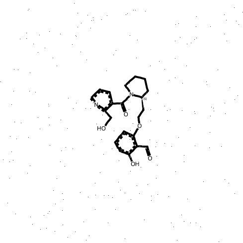 O=Cc1c(O)cccc1OCC[C@@H]1CCCCN1C(=O)c1cccnc1CO